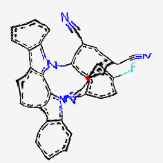 N#Cc1cc(C#N)c(-n2c3ccccc3c3ccc4c5ccccc5n(-c5ccc(F)cc5)c4c32)c(C#N)c1